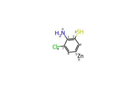 Nc1c(S)cccc1Cl.[Zn]